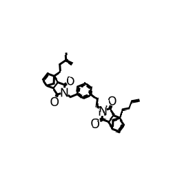 C=CCCC12C=CC(C1)C1C(=O)N(CCc3cccc(CN4C(=O)C5C6C=CC(CCC(=C)C)(C6)C5C4=O)c3)C(=O)C12